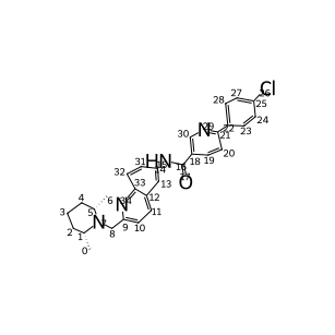 C[C@@H]1CCC[C@H](C)N1Cc1ccc2cc(NC(=O)c3ccc(-c4ccc(Cl)cc4)nc3)ccc2n1